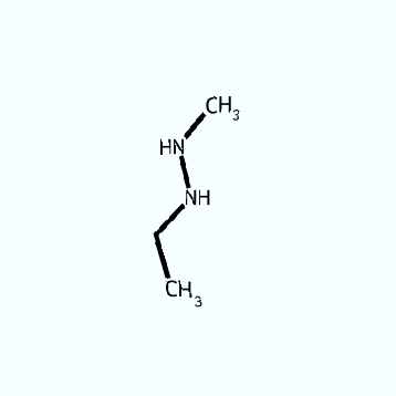 CCNNC